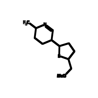 COCC1CCC(C2C=NC(C(F)(F)F)CC2)S1